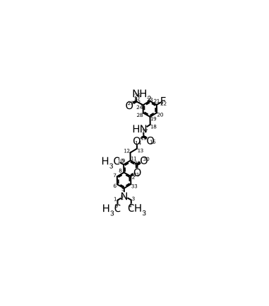 CCN(CC)c1ccc2c(C)c(CCOC(=O)NCc3cc(F)cc(C(N)=O)c3)c(=O)oc2c1